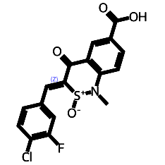 CN1c2ccc(C(=O)O)cc2C(=O)/C(=C/c2ccc(Cl)c(F)c2)[S+]1[O-]